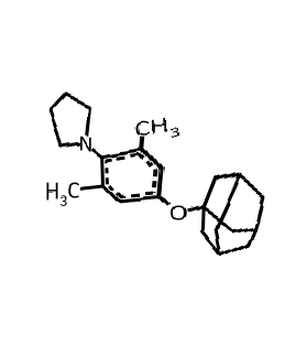 Cc1cc(OC23CC4CC(CC(C4)C2)C3)cc(C)c1N1CCCC1